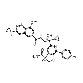 COc1cc(C(=O)NC[C@](O)(c2cc3c(c(-c4ccc(F)cc4)n2)OC[C@]3(C)C(N)=O)C2CC2)cc2cc(C3(F)CC3)nnc12